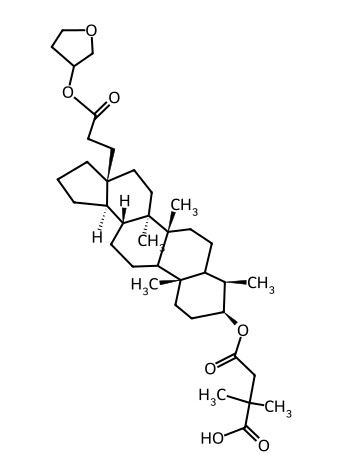 C[C@@H]1C2CC[C@]3(C)C(CC[C@@H]4[C@H]5CCC[C@]5(CCC(=O)OC5CCOC5)CC[C@]43C)[C@@]2(C)CC[C@@H]1OC(=O)CC(C)(C)C(=O)O